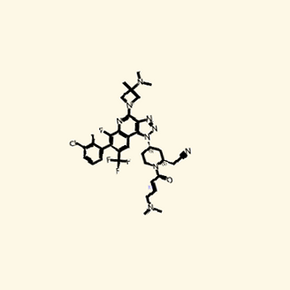 Cc1c(Cl)cccc1-c1c(C(F)(F)F)cc2c(nc(N3CC(C)(N(C)C)C3)c3nnn([C@H]4CCN(C(=O)/C=C/CN(C)C)[C@H](CC#N)C4)c32)c1F